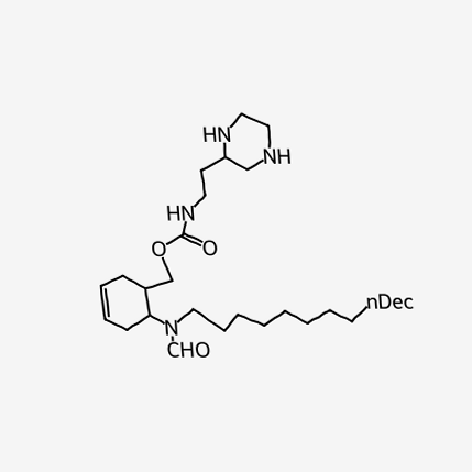 CCCCCCCCCCCCCCCCCCN(C=O)C1CC=CCC1COC(=O)NCCC1CNCCN1